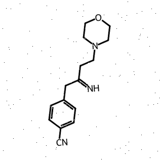 N#Cc1ccc(CC(=N)CCN2CCOCC2)cc1